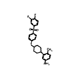 Cc1ccc(N)cc1C1CCN(Cc2ccc(S(=O)(=O)c3ccc(F)c(F)c3)cc2)CC1